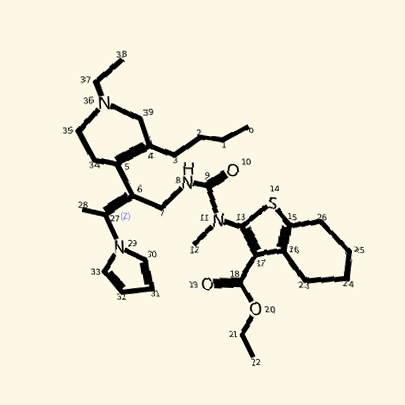 CCCCC1=C(/C(CNC(=O)N(C)c2sc3c(c2C(=O)OCC)CCCC3)=C(\C)n2cccc2)CCN(CC)C1